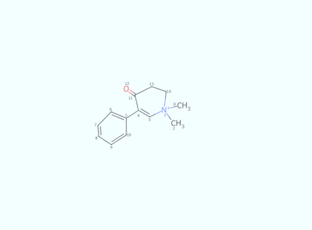 C[N+]1(C)C=C(c2ccccc2)C(=O)CC1